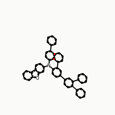 c1ccc(-c2ccc(N(c3ccc4c(c3)oc3ccccc34)c3ccc(-c4ccc(-c5ccccc5)c(-c5ccccc5)c4)cc3-c3ccccc3)cc2)cc1